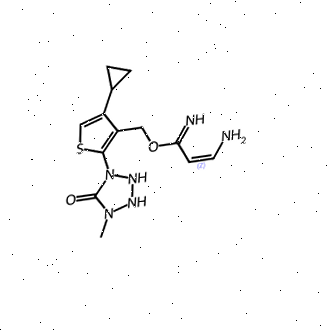 CN1NNN(c2scc(C3CC3)c2COC(=N)/C=C\N)C1=O